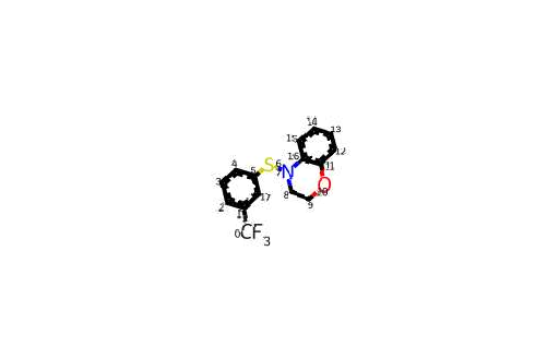 FC(F)(F)c1cccc(SN2CCOc3ccccc32)c1